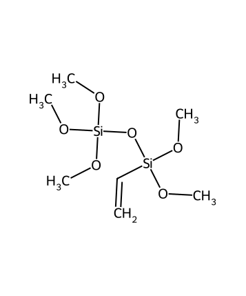 C=C[Si](OC)(OC)O[Si](OC)(OC)OC